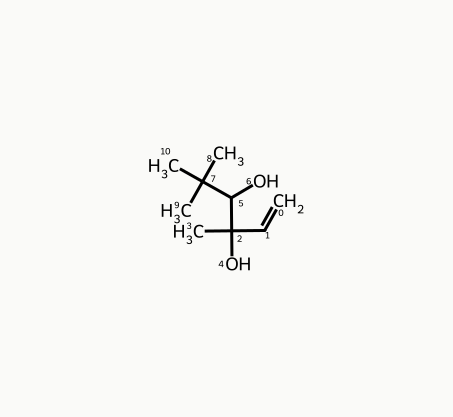 C=CC(C)(O)C(O)C(C)(C)C